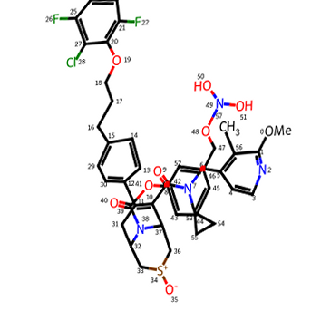 COc1nccc(CN(C(=O)C2=C(c3ccc(CCCOc4c(F)ccc(F)c4Cl)cc3)CC3C[S+]([O-])CC2N3C(=O)Oc2cccc(CON(O)O)c2)C2CC2)c1C